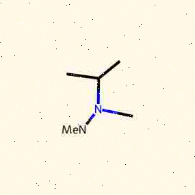 [CH2]NN(C)C(C)C